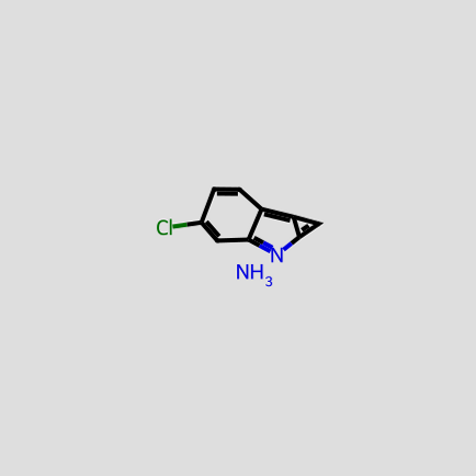 Clc1ccc2c3cc-3nc2c1.N